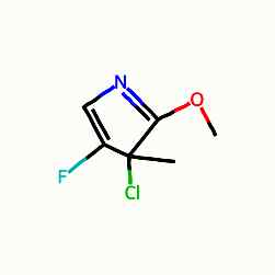 COC1=NC=C(F)C1(C)Cl